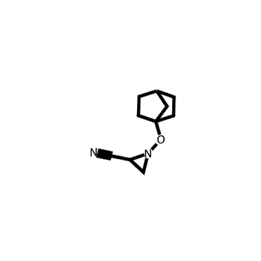 N#CC1CN1OC12CCC(CC1)C2